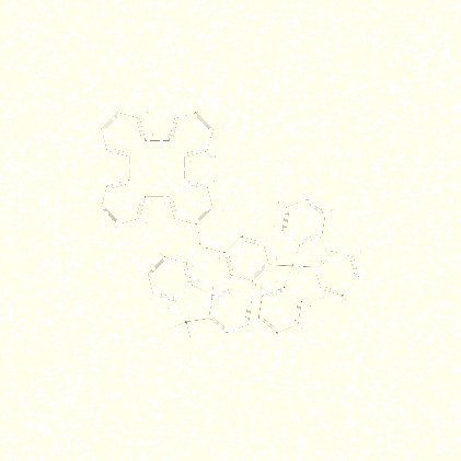 CC1(C)c2ccccc2-c2c(N(c3ccc4c(c3)-c3ccccc3-c3ccccc3-c3ccccc3-4)c3ccc4c(c3)-c3ccccc3C43c4ccccc4-c4ccccc43)cccc21